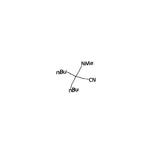 CCCCC(C#N)(CCCC)NC